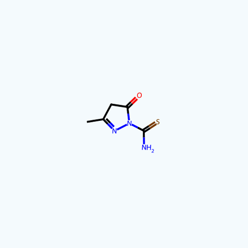 CC1=NN(C(N)=S)C(=O)C1